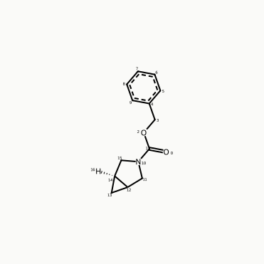 O=C(OCc1ccccc1)N1CC2C[C@H]2C1